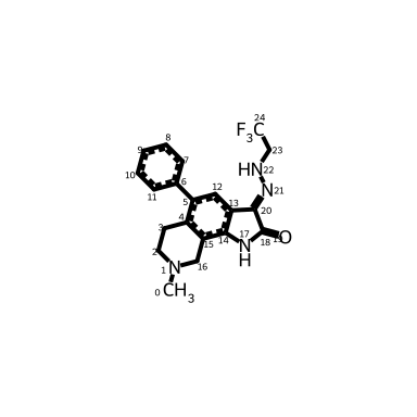 CN1CCc2c(-c3ccccc3)cc3c(c2C1)NC(=O)/C3=N/NCC(F)(F)F